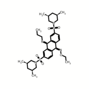 CCCN=C1c2cc(S(=O)(=O)N3C[C@H](C)C[C@H](C)C3)ccc2C(=NOCC)c2ccc(S(=O)(=O)N3C[C@H](C)C[C@H](C)C3)cc21